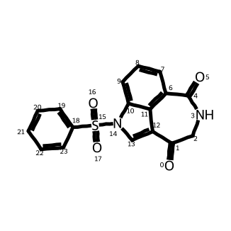 O=C1CNC(=O)c2cccc3c2c1cn3S(=O)(=O)c1ccccc1